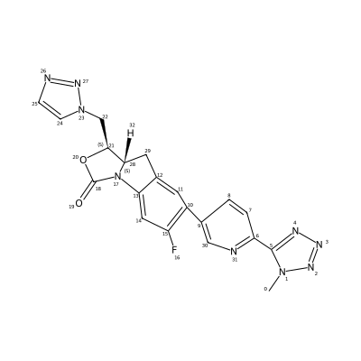 Cn1nnnc1-c1ccc(-c2cc3c(cc2F)N2C(=O)O[C@@H](Cn4ccnn4)[C@@H]2C3)cn1